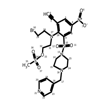 C#Cc1cc([N+](=O)[O-])cc(S(=O)(=O)N2CCN(Cc3ccncc3)CC2)c1N(CCBr)CCOS(C)(=O)=O